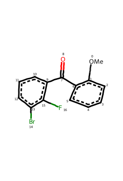 COc1ccccc1C(=O)c1cccc(Br)c1F